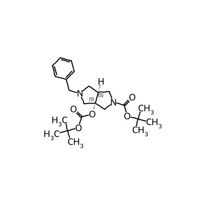 CC(C)(C)OC(=O)O[C@]12CN(Cc3ccccc3)C[C@H]1CN(C(=O)OC(C)(C)C)C2